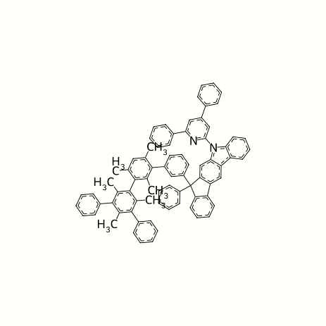 Cc1cc(C)c(-c2c(C)c(-c3ccccc3)c(C)c(-c3ccccc3)c2C)c(C)c1-c1cccc(C2(c3ccccc3)c3ccccc3-c3cc4c5ccccc5n(-c5cc(-c6ccccc6)cc(-c6ccccc6)n5)c4cc32)c1